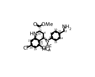 COC(=O)[C@@H]1C[C@@H](N(C(C)=O)c2ccc(CN)cc2)c2c(Cl)cc(Cl)cc2N1.Cl